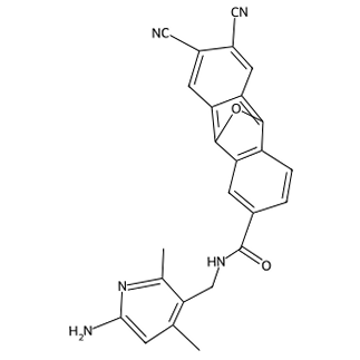 Cc1cc(N)nc(C)c1CNC(=O)c1ccc2c(c1)c1oc2c2cc(C#N)c(C#N)cc21